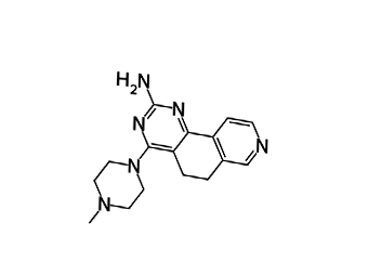 CN1CCN(c2nc(N)nc3c2CCc2cnccc2-3)CC1